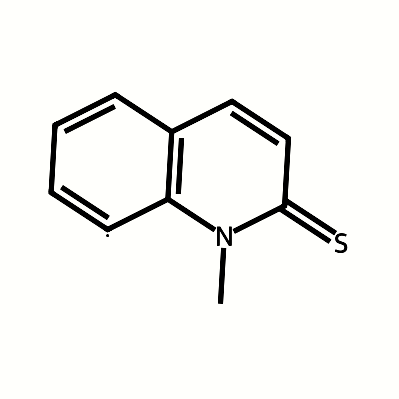 Cn1c(=S)ccc2ccc[c]c21